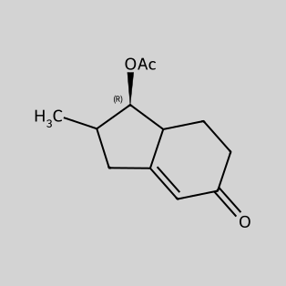 CC(=O)O[C@@H]1C(C)CC2=CC(=O)CCC21